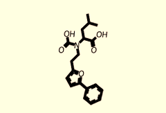 CC(C)CC(C(=O)O)N(CCc1ccc(-c2ccccc2)o1)C(=O)O